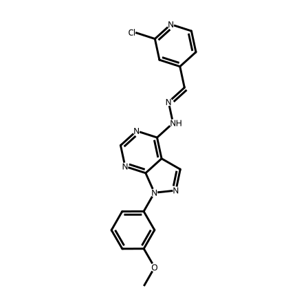 COc1cccc(-n2ncc3c(N/N=C/c4ccnc(Cl)c4)ncnc32)c1